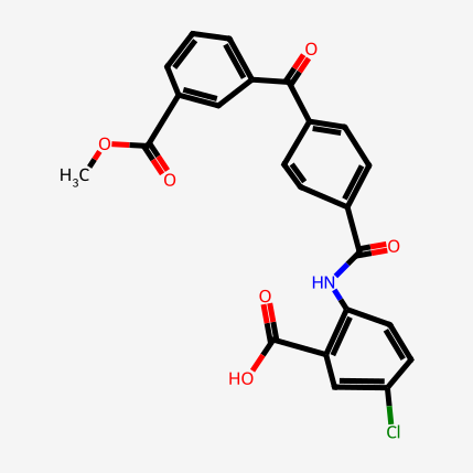 COC(=O)c1cccc(C(=O)c2ccc(C(=O)Nc3ccc(Cl)cc3C(=O)O)cc2)c1